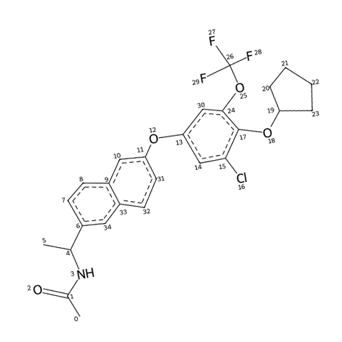 CC(=O)NC(C)c1ccc2cc(Oc3cc(Cl)c(OC4CCCC4)c(OC(F)(F)F)c3)ccc2c1